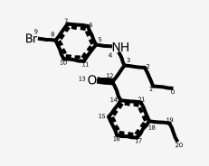 CCCC(Nc1ccc(Br)cc1)C(=O)c1cccc(CC)c1